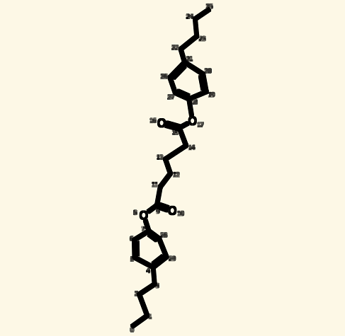 CCCCc1ccc(OC(=O)CCCCC(=O)Oc2ccc(CCCC)cc2)cc1